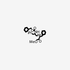 COCC(=O)C(Cc1ccccc1)NCC(CC(C)C)NC(=O)OCc1ccccc1